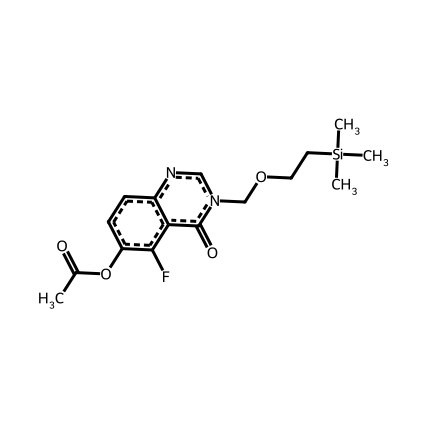 CC(=O)Oc1ccc2ncn(COCC[Si](C)(C)C)c(=O)c2c1F